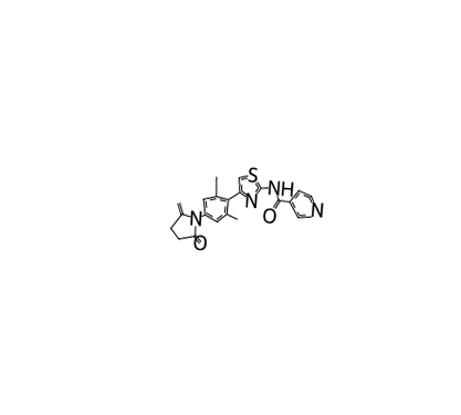 C=C1CCC(=O)N1c1cc(C)c(-c2csc(NC(=O)c3ccncc3)n2)c(C)c1